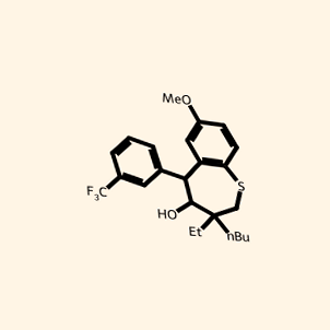 CCCCC1(CC)CSc2ccc(OC)cc2C(c2cccc(C(F)(F)F)c2)C1O